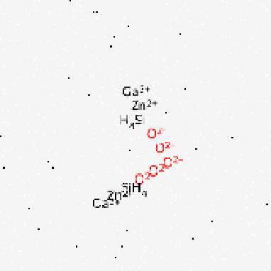 [Ga+3].[Ga+3].[O-2].[O-2].[O-2].[O-2].[O-2].[SiH4].[SiH4].[Zn+2].[Zn+2]